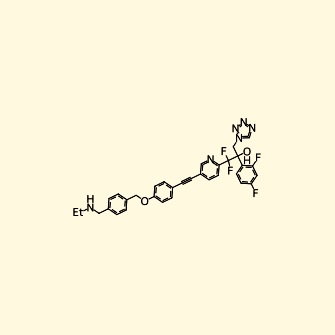 CCNCc1ccc(COc2ccc(C#Cc3ccc(C(F)(F)C(O)(Cn4cnnn4)c4ccc(F)cc4F)nc3)cc2)cc1